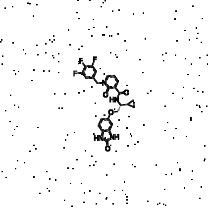 O=C(N[C@@H](COc1ccc2[nH]c(=O)[nH]c2c1)C1CC1)c1cccn(Cc2cc(F)c(F)c(F)c2)c1=O